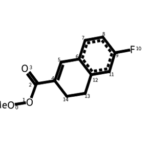 COOC(=O)C1=Cc2ccc(F)cc2CC1